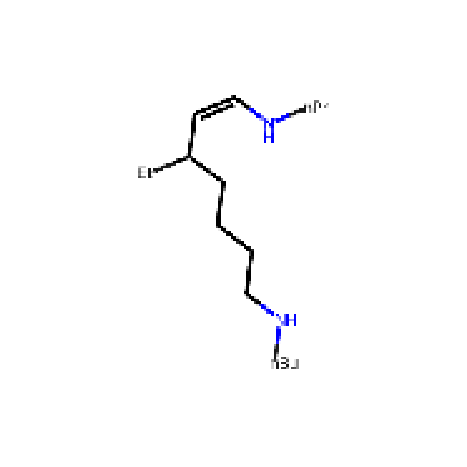 CCCCNCCCCC(/C=C\NCCC)CC